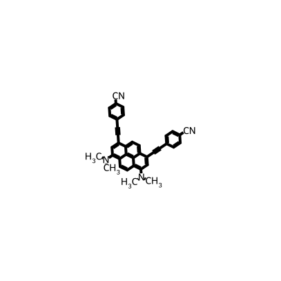 CN(C)c1cc(C#Cc2ccc(C#N)cc2)c2ccc3c(C#Cc4ccc(C#N)cc4)cc(N(C)C)c4ccc1c2c34